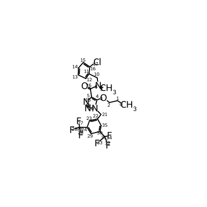 CCCOc1c(C(=O)N(C)Cc2ccccc2Cl)nnn1Cc1cc(C(F)(F)F)cc(C(F)(F)F)c1